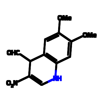 COc1cc2c(cc1OC)C(C=O)C([N+](=O)[O-])=CN2